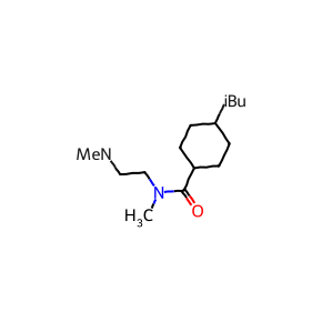 CCC(C)C1CCC(C(=O)N(C)CCNC)CC1